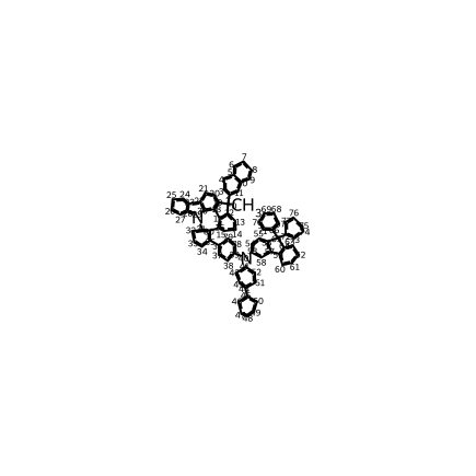 CC1(c2ccc3ccccc3c2)c2cccc3c2-c2c1ccc1c4ccccc4n(c21)-c1cccc(-c2ccc(N(c4ccc(-c5ccccc5)cc4)c4ccc5c(c4)-c4ccccc4C5(c4ccccc4)c4ccccc4)cc2)c1-3